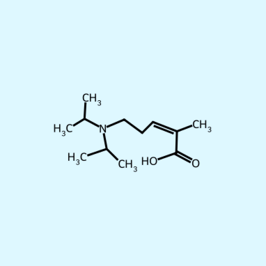 CC(=CCCN(C(C)C)C(C)C)C(=O)O